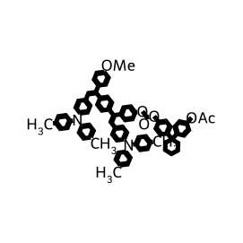 COc1ccc(C(=Cc2ccc(N(c3ccc(C)cc3)c3ccc(C)cc3)cc2)c2ccc(C(=Cc3ccc(N(c4ccc(C)cc4)c4ccc(C)cc4)cc3)c3ccc(OC(=O)Oc4ccc(C5(c6ccc(OC(C)=O)cc6)CCCCC5)cc4)cc3)cc2)cc1